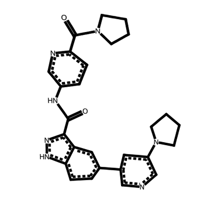 O=C(Nc1ccc(C(=O)N2CCCC2)nc1)c1n[nH]c2ccc(-c3cncc(N4CCCC4)c3)cc12